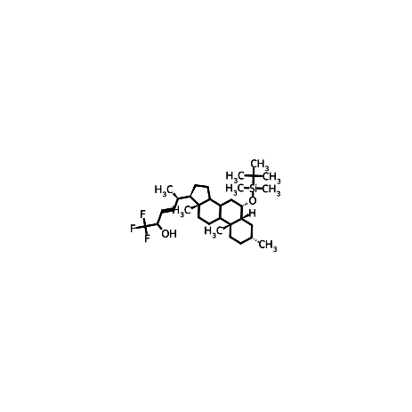 C[C@@H]1CC[C@]2(C)C3CC[C@@]4(C)C(CC[C@@H]4[C@H](C)/C=C/C(O)C(F)(F)F)C3C[C@H](O[Si](C)(C)C(C)(C)C)[C@@H]2C1